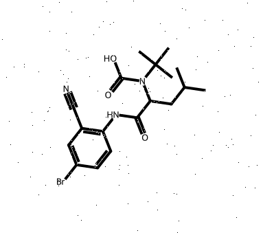 CC(C)CC(C(=O)Nc1ccc(Br)cc1C#N)N(C(=O)O)C(C)(C)C